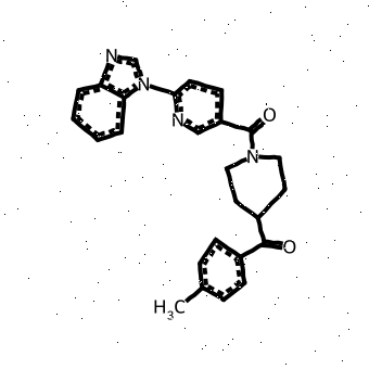 Cc1ccc(C(=O)C2CCN(C(=O)c3ccc(-n4cnc5ccccc54)nc3)CC2)cc1